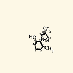 Cc1cccc(O)c1-n1cc(C(F)(F)F)cn1